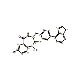 CN1C(=O)C(Cc2ccc(-c3ccnc4c3C=CC4)cc2)NC(=O)c2cc(Cl)ccc21